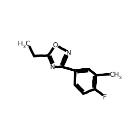 CCc1nc(-c2ccc(F)c(C)c2)no1